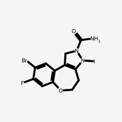 NC(=O)N1CC2=C(CCOc3cc(F)c(Br)cc32)N1I